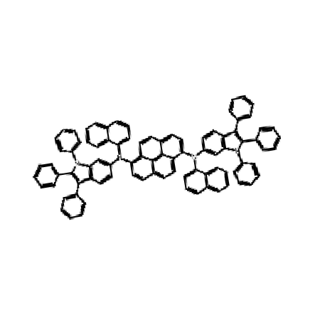 c1ccc(-c2c(-c3ccccc3)n(-c3ccccc3)c3cc(N(c4cccc5ccccc45)c4ccc5ccc6c(N(c7ccc8c(-c9ccccc9)c(-c9ccccc9)n(-c9ccccc9)c8c7)c7cccc8ccccc78)ccc7ccc4c5c76)ccc23)cc1